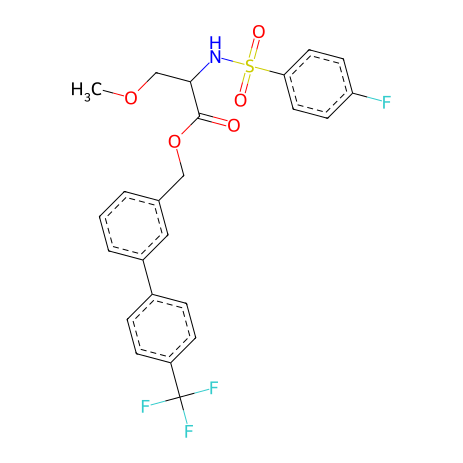 COCC(NS(=O)(=O)c1ccc(F)cc1)C(=O)OCc1cccc(-c2ccc(C(F)(F)F)cc2)c1